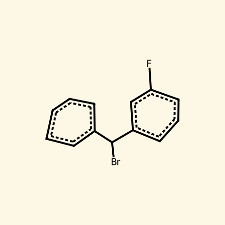 Fc1cccc(C(Br)c2ccccc2)c1